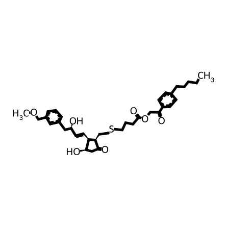 CCCCCc1ccc(C(=O)COC(=O)CCCSCC[C@H]2C(=O)C[C@@H](O)[C@H]2/C=C/[C@@H](O)Cc2cccc(COC)c2)cc1